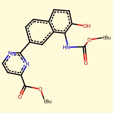 CC(C)(C)OC(=O)Nc1c(O)ccc2ccc(-c3nccc(C(=O)OC(C)(C)C)n3)cc12